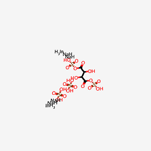 O=C(OS(=O)(=O)O)C(O)C(O)C(=O)OS(=O)(=O)O.O=S(=O)(O)O.O=S(=O)(O)O.[InH3].[InH3].[NaH].[NaH].[NaH].[NaH]